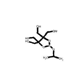 CC(C)OB1OC(CO)(CO)C(CO)(CO)O1